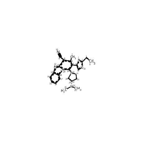 CCc1nc(-c2c(C)c(C#N)c3nc4ccccc4n3c2N2CC[C@H](N(C)C)C2)cs1